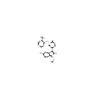 Cc1c(-c2ccc(=O)n(Cc3ccccc3C(F)(F)F)n2)c2cc(Cl)ccc2n1CC(=O)O